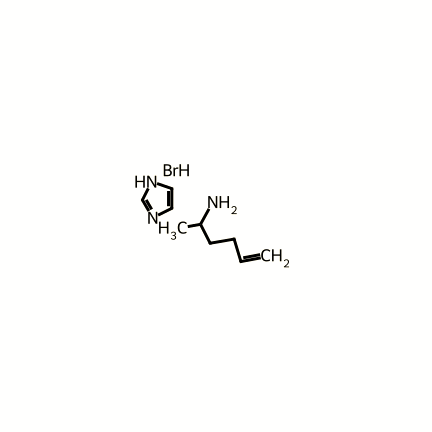 Br.C=CCCC(C)N.c1c[nH]cn1